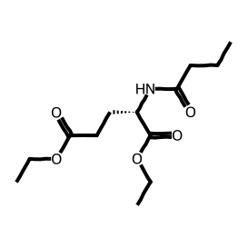 CCCC(=O)N[C@@H](CCC(=O)OCC)C(=O)OCC